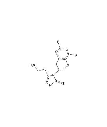 NCCC1=C[N]C(=S)N1C1COc2c(F)cc(F)cc2C1